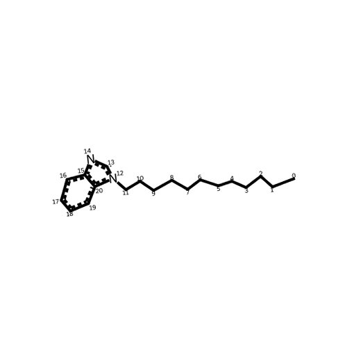 CCCCCCCCCCCCn1[c]nc2ccccc21